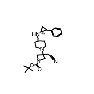 CC(C)(C)OC(=O)N1CC(CC#N)(N2CCC(N[C@@H]3CC3c3ccccc3)CC2)C1